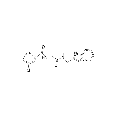 O=C(CNC(=O)c1cccc(Cl)c1)NCc1cn2ccccc2n1